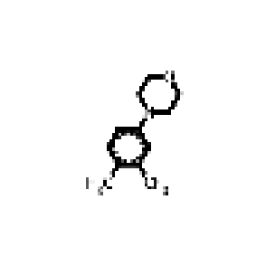 Cc1ccc(N2CCOCC2)cc1C(F)(F)F